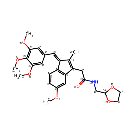 COc1ccc2c(c1)C(CC(=O)NCC1OCCO1)=C(C)/C2=C/c1cc(OC)c(OC)c(OC)c1